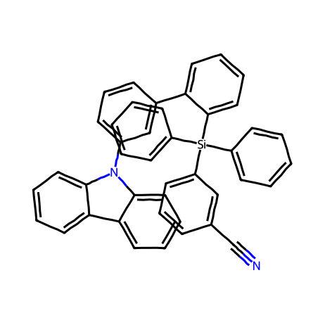 N#Cc1cccc([Si](c2ccccc2)(c2ccccc2)c2ccccc2-c2cccc(-n3c4ccccc4c4ccccc43)c2)c1